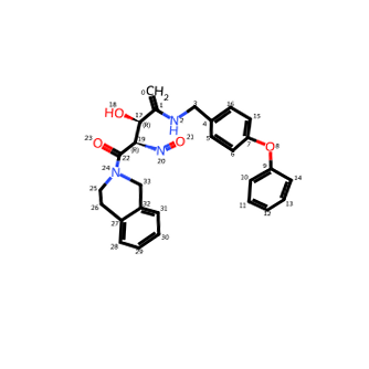 C=C(NCc1ccc(Oc2ccccc2)cc1)[C@H](O)[C@@H](N=O)C(=O)N1CCc2ccccc2C1